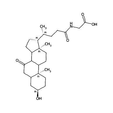 C[C@H](CCC(=O)NCC(=O)O)[C@H]1CCC2C3C(=O)CC4C[C@H](O)CC[C@]4(C)C3CC[C@@]21C